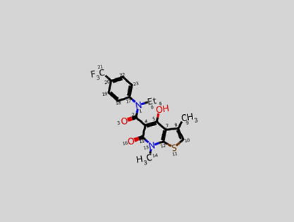 CCN(C(=O)c1c(O)c2c(C)csc2n(C)c1=O)c1ccc(C(F)(F)F)cc1